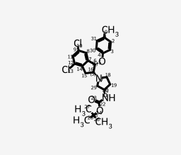 Cc1ccc(O[C@H]2c3cc(Cl)cc(Cl)c3C[C@@H]2N2CC[C@@H](NC(=O)OC(C)(C)C)C2)cc1